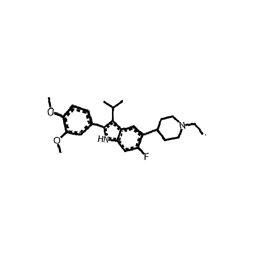 [CH2]CN1CCC(c2cc3c(C(C)C)c(-c4ccc(OC)c(OC)c4)[nH]c3cc2F)CC1